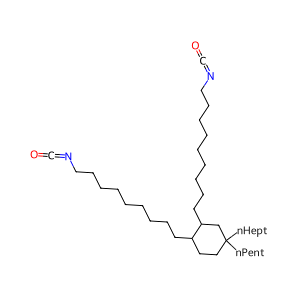 CCCCCCCC1(CCCCC)CCC(CCCCCCCCCN=C=O)C(CCCCCCCCCN=C=O)C1